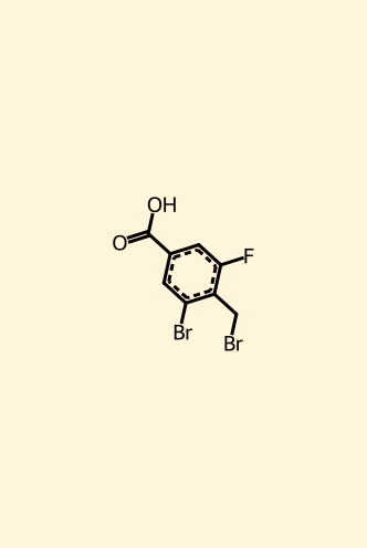 O=C(O)c1cc(F)c(CBr)c(Br)c1